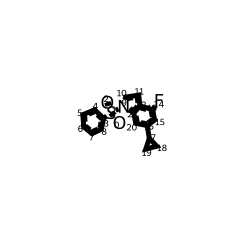 O=S(=O)(c1ccccc1)n1ccc2c(F)cc(C3CC3)cc21